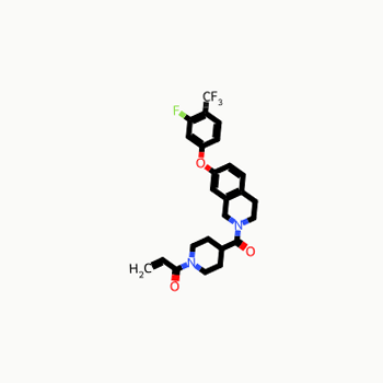 C=CC(=O)N1CCC(C(=O)N2CCc3ccc(Oc4ccc(C(F)(F)F)c(F)c4)cc3C2)CC1